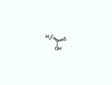 C=P(O)=S